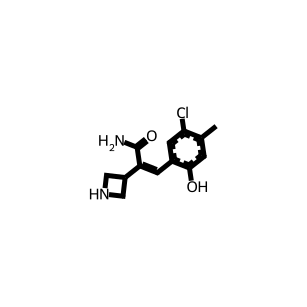 Cc1cc(O)c(C=C(C(N)=O)C2CNC2)cc1Cl